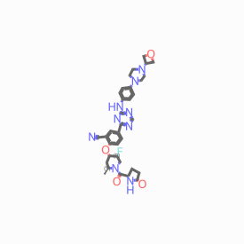 C[C@H]1CC(Oc2ccc(-c3ncnc(Nc4ccc(N5CCN(C6COC6)CC5)cc4)n3)cc2C#N)[C@H](F)CN1C(=O)C1CCC(=O)N1